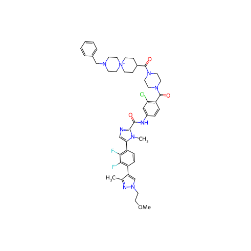 COCCn1cc(-c2ccc(-c3cnc(C(=O)Nc4ccc(C(=O)N5CCN(C(=O)C6CC[N+]7(CC6)CCN(Cc6ccccc6)CC7)CC5)c(Cl)c4)n3C)c(F)c2F)c(C)n1